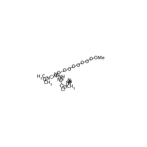 COCCOCCOCCOCCOCCOCCOCCOCCCOc1nn(C2CCC(N3C[C@@H](C)O[C@@H](C)C3)CC2)cc1Nc1ncc(-c2ccc(Cl)c(O[C@@H](C)Cn3cnnn3)c2)cn1